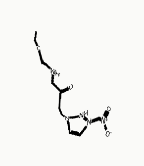 CCCCNCC(=O)CN1C=CN([N+](=O)[O-])N1